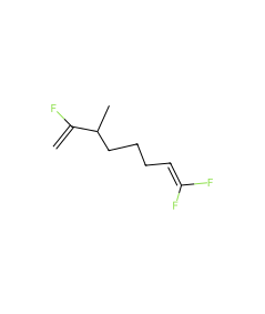 C=C(F)C(C)CCCC=C(F)F